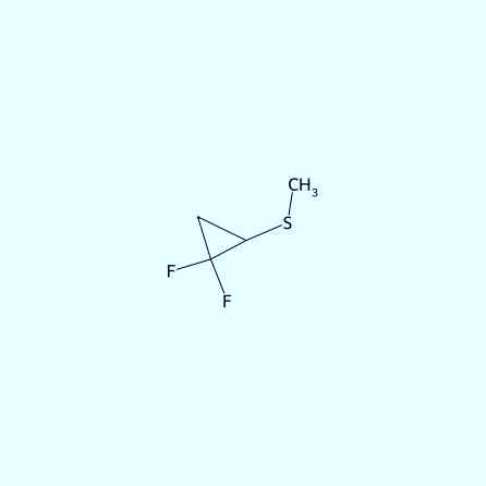 CSC1CC1(F)F